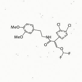 COc1ccc(CCNC(=O)C(=COC(F)F)c2ccc(Cl)c(Cl)c2)cc1OC